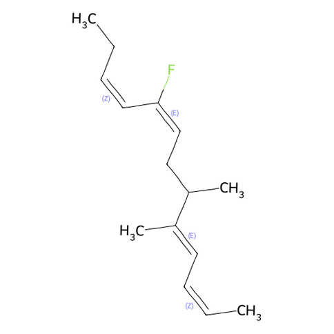 C/C=C\C=C(/C)C(C)C/C=C(F)\C=C/CC